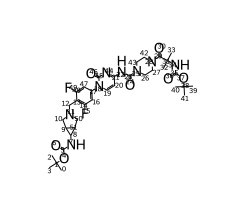 CC(C)(C)OC(=O)NC1C2CN(Cc3c(F)cc(-n4ccc(NC(=O)N5CCN(C(=O)C(C)(C)NC(=O)OC(C)(C)C)CC5)nc4=O)cc3F)CC21